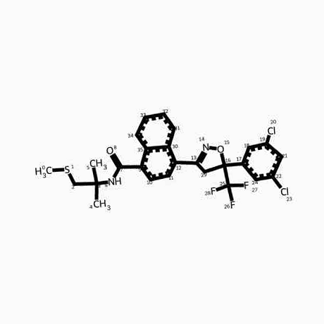 CSCC(C)(C)NC(=O)c1ccc(C2=NOC(c3cc(Cl)cc(Cl)c3)(C(F)(F)F)C2)c2ccccc12